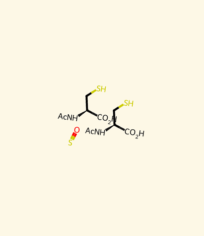 CC(=O)N[C@@H](CS)C(=O)O.CC(=O)N[C@@H](CS)C(=O)O.O=S